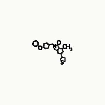 Cc1cc(C2C=CSC2)cc2c1C(=O)N(Cc1ccc(Oc3ccccc3)cc1)C2